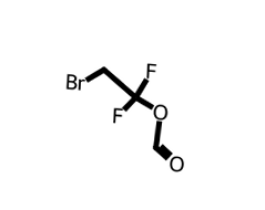 O=COC(F)(F)CBr